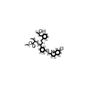 CCOC(=O)C(CC)CSC(CCc1ccccc1CC(C)O)c1cccc(OCc2ccc3ccc(Cl)cc3n2)c1